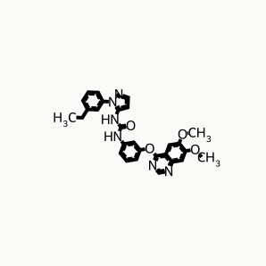 CCc1cccc(-n2nccc2NC(=O)Nc2cccc(Oc3ncnc4cc(OC)c(OC)cc34)c2)c1